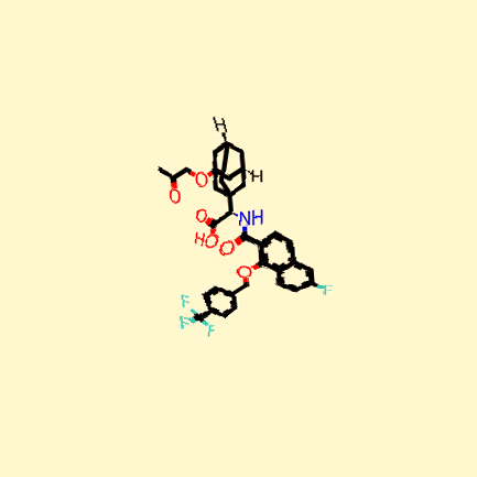 CC(=O)COC12C[C@H]3C[C@@H](C1)CC([C@H](NC(=O)c1ccc4cc(F)ccc4c1OCc1ccc(C(F)(F)F)cc1)C(=O)O)(C3)C2